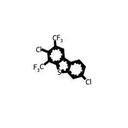 FC(F)(F)c1cc2c(sc3cc(Cl)ccc32)c(C(F)(F)F)c1Cl